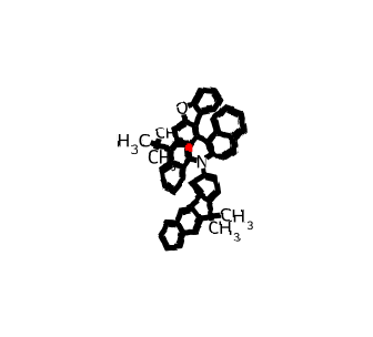 CC(C)(C)c1ccc(N(c2ccc3c(c2)-c2cc4ccccc4cc2C3(C)C)c2ccc3ccccc3c2-c2cccc3oc4ccccc4c23)c2ccccc12